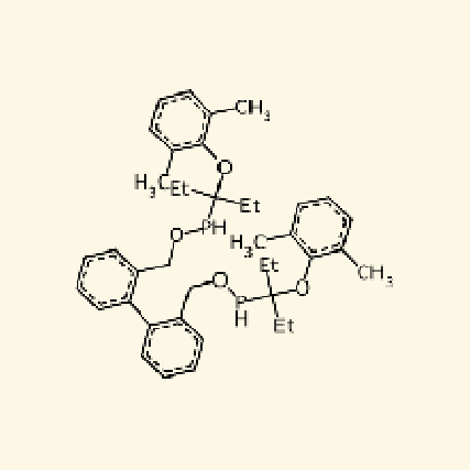 CCC(CC)(Oc1c(C)cccc1C)POCc1ccccc1-c1ccccc1COPC(CC)(CC)Oc1c(C)cccc1C